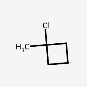 CC1(Cl)C[CH]C1